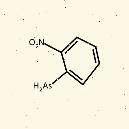 O=[N+]([O-])c1ccccc1[AsH2]